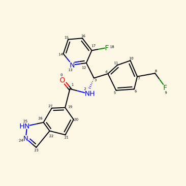 O=C(N[C@@H](c1ccc(CF)cc1)c1ncccc1F)c1ccc2cn[nH]c2c1